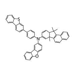 CC1(C)c2c(ccc3ccccc23)C2(C)C=C(N(c3ccc(-c4ccc5c(c4)sc4ccccc45)cc3)c3ccc4oc5ccccc5c4c3)C=CC12